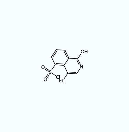 CCc1cnc(O)c2cccc(S(=O)(=O)Cl)c12